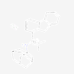 C[SiH](C)[Hf+2]([NH]C12CC3CC(CC(C3)C1)C2)[c]1cccc2c1Cc1ccccc1-2.[Cl-].[Cl-]